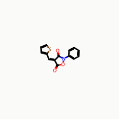 O=C1ON(c2ccccc2)C(=O)C1=Cc1cccs1